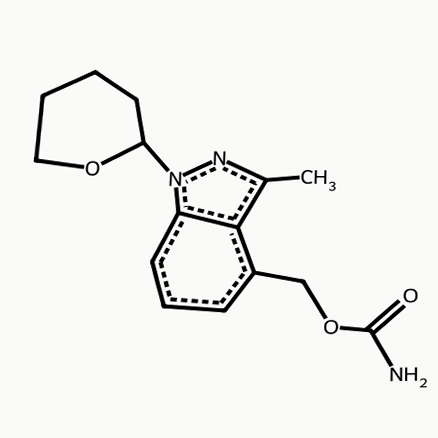 Cc1nn(C2CCCCO2)c2cccc(COC(N)=O)c12